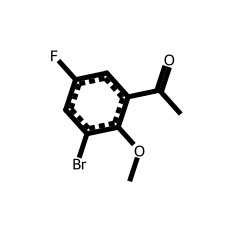 COc1c(Br)cc(F)cc1C(C)=O